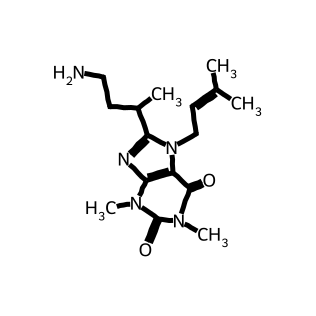 CC(C)=CCn1c(C(C)CCN)nc2c1c(=O)n(C)c(=O)n2C